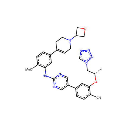 COc1ccc(C2=CCN(C3COC3)CC2)cc1Nc1ncc(-c2ccc(C#N)c(O[C@@H](C)Cn3cnnn3)c2)cn1